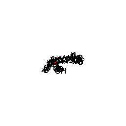 CCN1/C(=C/C2=CC3=C/C(=C/c4sc5ccc(SOOC)cc5[n+]4CCCS(=O)(=O)O)CCC3CC2)Sc2ccc(S(C)(=O)=O)cc21